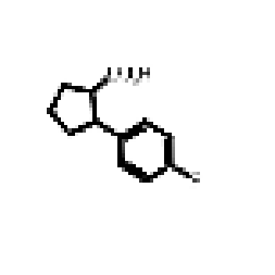 O=C(O)C1CCCC1c1ccc(F)cc1